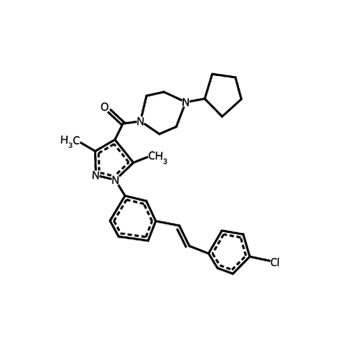 Cc1nn(-c2cccc(C=Cc3ccc(Cl)cc3)c2)c(C)c1C(=O)N1CCN(C2CCCC2)CC1